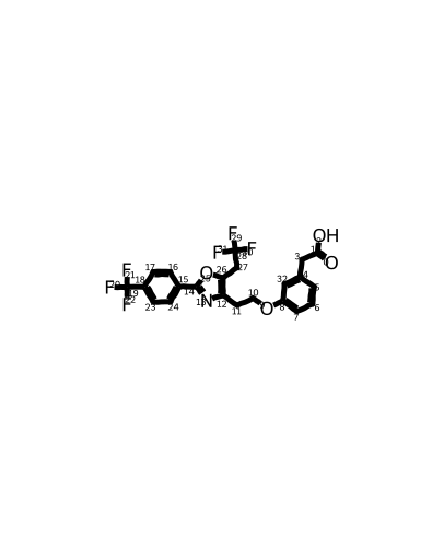 O=C(O)Cc1cccc(OCCc2nc(-c3ccc(C(F)(F)F)cc3)oc2CC(F)(F)F)c1